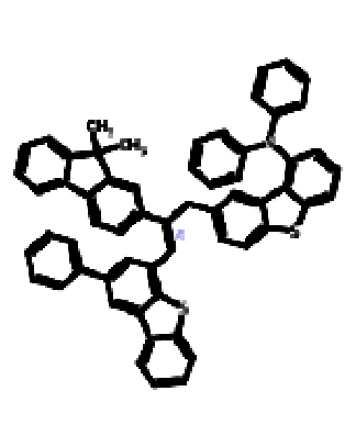 CC1(C)c2ccccc2-c2ccc(/C(=C\c3cc(-c4ccccc4)cc4c3sc3ccccc34)Cc3ccc4sc5cccc(N(c6ccccc6)c6ccccc6)c5c4c3)cc21